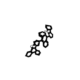 c1ccc2c(c1)[nH]c1c(-c3c4ccccc4c(-c4ccc5oc6c7ccccc7c7ccccc7c6c5c4)c4ccccc34)cccc12